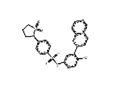 O=S(=O)(Nc1ccc(Cl)c(-c2ccc3cnccc3n2)c1)c1ccc(N2CCCS2(=O)=O)cc1